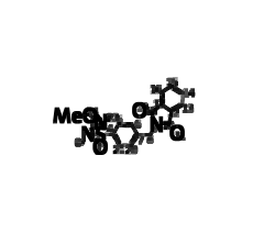 CN=S(=O)(c1ccc(CN2C(=O)c3ccccc3C2=O)cc1)N(C)OC